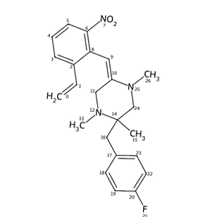 C=Cc1cccc([N+](=O)[O-])c1C=C1CN(C)C(C)(Cc2ccc(F)cc2)CN1C